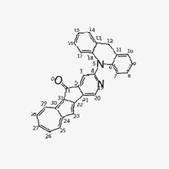 O=C1c2cc(N3c4ccccc4Cc4ccccc43)ncc2-c2cc3cccccc-3c21